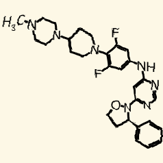 CN1CCN(C2CCN(c3c(F)cc(Nc4cc(N5OCC[C@@H]5c5ccccc5)ncn4)cc3F)CC2)CC1